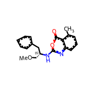 COC[C@H](Cc1ccccc1)Nc1nc2cccc(C)c2c(=O)o1